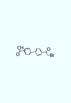 CC(=O)c1ccc(-c2ccc(C(=O)CBr)cc2)cc1